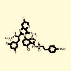 COc1ccc(CCS(=O)(=O)Nc2nn(C)c3c(-n4c(C(Cc5cc(F)cc(F)c5)NC(=O)O)nc5cc(Br)cnc5c4=O)ccc(Cl)c23)cc1